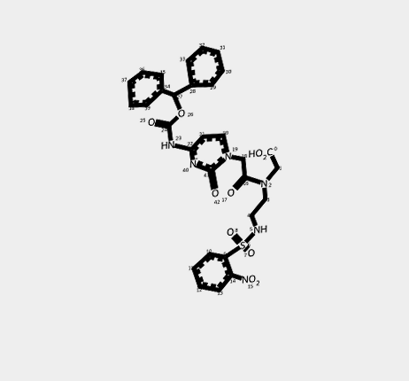 O=C(O)CN(CCNS(=O)(=O)c1ccccc1[N+](=O)[O-])C(=O)Cn1ccc(NC(=O)OC(c2ccccc2)c2ccccc2)nc1=O